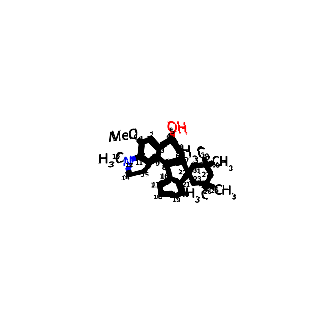 COc1cc2c(O)cc3c(c2c2c1N(C)CC2)-c1ccccc1C31CC(C)(C)CC(C)(C)C1